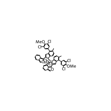 COc1c(Cl)cc(-c2c(C)ccc3c2C=C(c2occ4ccccc24)[CH]3[Zr]([Cl])([Cl])([CH]2C(c3occ4ccccc34)=Cc3c2ccc(C)c3-c2cc(Cl)c(OC)c(Cl)c2)=[Si](C)C)cc1Cl